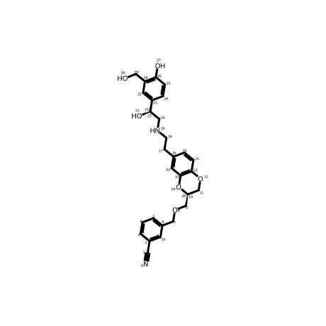 N#Cc1cccc(COC[C@@H]2COc3ccc(CCNC[C@@H](O)c4ccc(O)c(CO)c4)cc3O2)c1